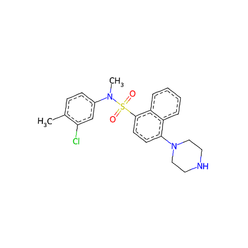 Cc1ccc(N(C)S(=O)(=O)c2ccc(N3CCNCC3)c3ccccc23)cc1Cl